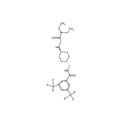 CCN(CC)C(=O)CN[C@H]1CC[C@H](CNC(=O)c2cc(C(F)(F)F)cc(C(F)(F)F)c2)CC1